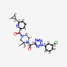 CC1(C)CN(C(=O)c2cccc(C3CC3)n2)CCN1C(=O)c1nnn(-c2cccc(Cl)c2)n1